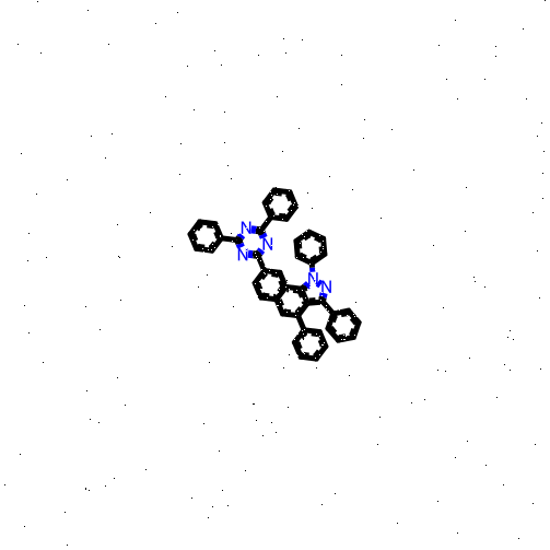 c1ccc(-c2nc(-c3ccccc3)nc(-c3ccc4cc(-c5ccccc5)c5c(-c6ccccc6)nn(-c6ccccc6)c5c4c3)n2)cc1